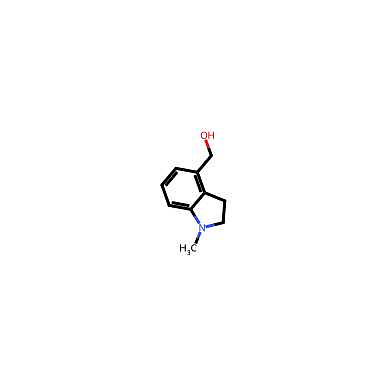 CN1CCc2c(CO)cccc21